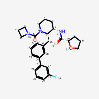 O=C(N[C@H]1CCCN(C(=O)N2CCC2)[C@H]1Cc1cccc(-c2cccc(F)c2)c1)[C@@H]1CCCO1